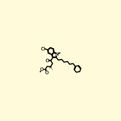 COC(=O)C[C@@H](C)CC(=O)c1c(CCCCCCC2=CCCC=C2)n(C)c2ccc(Cl)cc12